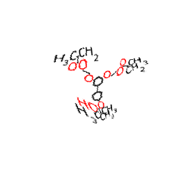 C=C(C)C(=O)OCCOc1cc(OCCOC(=O)C(=C)C)cc(-c2ccc(OC(O)C(C)(C)C)cc2)c1